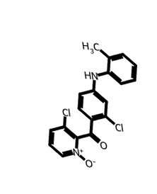 Cc1ccccc1Nc1ccc(C(=O)c2c(Cl)ccc[n+]2[O-])c(Cl)c1